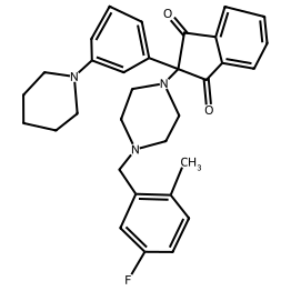 Cc1ccc(F)cc1CN1CCN(C2(c3cccc(N4CCCCC4)c3)C(=O)c3ccccc3C2=O)CC1